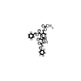 CC(=O)OCC1=CS[C@H]2C(NC(=O)COc3ccccc3)C(=O)N2C1C(=O)OCc1ccccc1